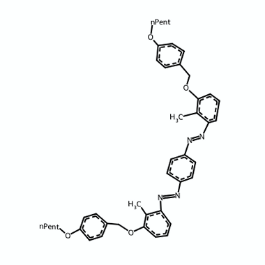 CCCCCOc1ccc(COc2cccc(N=Nc3ccc(N=Nc4cccc(OCc5ccc(OCCCCC)cc5)c4C)cc3)c2C)cc1